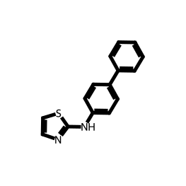 c1ccc(-c2ccc(Nc3nccs3)cc2)cc1